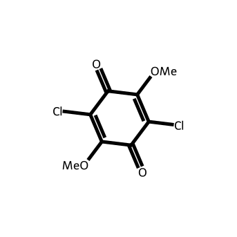 COC1=C(Cl)C(=O)C(OC)=C(Cl)C1=O